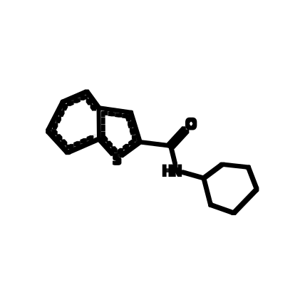 O=C(NC1CCCCC1)c1cc2ccccc2s1